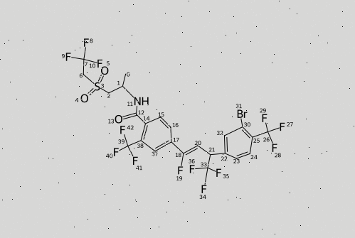 CC(CS(=O)(=O)CC(F)(F)F)NC(=O)c1ccc(/C(F)=C/C(c2ccc(C(F)(F)F)c(Br)c2)C(F)(F)F)cc1C(F)(F)F